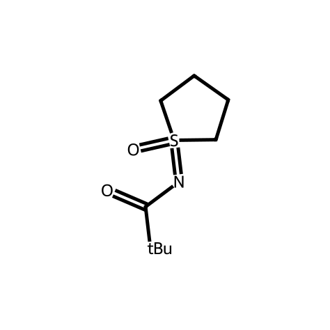 CC(C)(C)C(=O)N=S1(=O)CCCC1